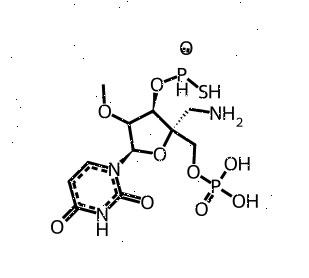 COC1[C@H](n2ccc(=O)[nH]c2=O)O[C@](CN)(COP(=O)(O)O)[C@@H]1O[PH](=O)S